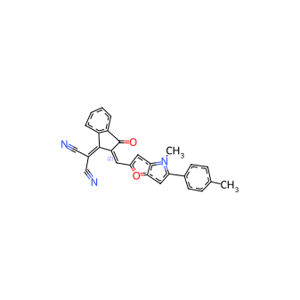 Cc1ccc(-c2cc3oc(/C=C4\C(=O)c5ccccc5C4=C(C#N)C#N)cc3n2C)cc1